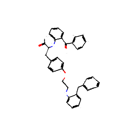 COC(=O)C(Cc1ccc(OCCNc2ccccc2Cc2ccccc2)cc1)Nc1ccccc1C(=O)c1ccccc1